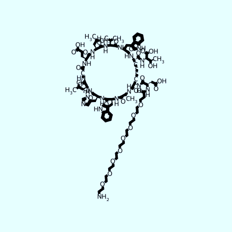 CC(C)C[C@@H]1NC(=O)[C@H](Cc2cnc[nH]2)NC(=O)[C@H](Cc2c[nH]c3ccccc23)NC(=O)[C@H](C)NC(=O)[C@@H](NC(=O)[C@H](CC(=O)O)NC(=O)CCOCCOCCOCCOCCOCCOCCOCCOCCN)CSSC[C@@H](C(=O)N[C@H](C(=O)O)[C@@H](C)O)NC(=O)C(Cc2c[nH]c3ccccc23)NC(=O)[C@H](C(C)C)NC(=O)[C@H](CC(C)C)NC(=O)[C@H](CCC(=O)O)NC(=O)CNC1=O